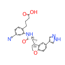 N#Cc1ccc(CCCC(=O)O)c(NC(=O)[C@@H]2C[C@]23CCOc2ccc(-c4cn[nH]c4)cc23)c1